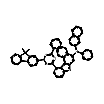 CC1(C)c2ccccc2-c2ccc(C3N=C(c4ccccc4)N=C(c4cccc5oc6cc(N(c7ccccc7)c7ccc8ccccc8c7)c7ccccc7c6c45)N3)cc21